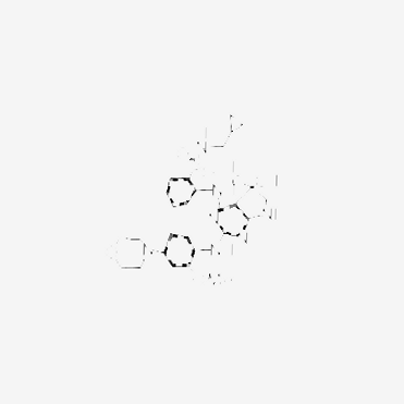 COc1cc(N2CCOCC2)ccc1Nc1nc2c(c(Nc3ccccc3S(=O)(=O)NCC3CC3)n1)C(C)(C)CN2